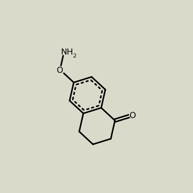 NOc1ccc2c(c1)CCCC2=O